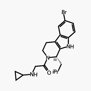 CC(C)C[C@H]1c2[nH]c3ccc(Br)cc3c2CCN1C(=O)CNC1CC1